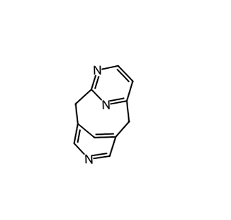 c1cc2nc(n1)Cc1cncc(c1)C2